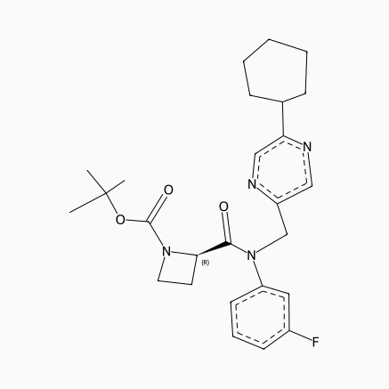 CC(C)(C)OC(=O)N1CC[C@@H]1C(=O)N(Cc1cnc(C2CCCCC2)cn1)c1cccc(F)c1